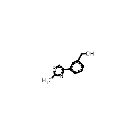 Cc1nc(-c2cccc(CO)c2)cs1